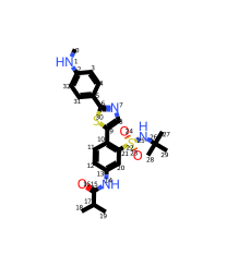 CNc1ccc(-c2ncc(-c3ccc(NC(=O)C(C)C)cc3S(=O)(=O)NC(C)(C)C)s2)cc1